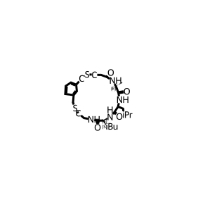 CC[C@H](C)[C@@H]1NC(=O)C(CC(C)C)NC(=O)[C@@H](C)NC(=O)CCSCc2cccc(c2)CSCCNC1=O